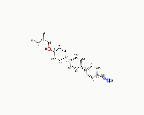 CCC(C)CO[C@H]1CC[C@H](c2ccc(-c3ccc(C#N)cc3)cc2)CC1